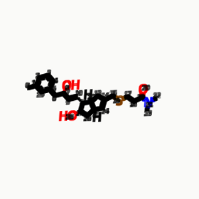 Cc1cccc(C[C@@H](O)/C=C/[C@@H]2[C@H]3CC(CSCCC(=O)N(C)C)=C[C@H]3C[C@H]2O)c1